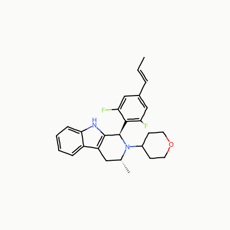 C/C=C/c1cc(F)c([C@@H]2c3[nH]c4ccccc4c3C[C@@H](C)N2C2CCOCC2)c(F)c1